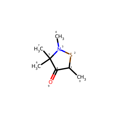 CC1SN(C)C(C)(C)C1=O